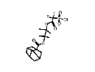 CC(C)(OC(=O)C12CC3CC(CC(C3)C1)C2)C(C)(C)OC(=O)C(F)(F)S(=O)(=O)O